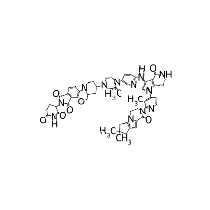 Cc1c(-n2cc(Nc3ccc(N4CCN(C5CCN6c7ccc8c(c7OCC6C5)C(=O)N(C5CCC(=O)NC5=O)C8=O)C[C@@H]4C)cn3)c3c2CCNC3=O)ccnc1N1CCn2c(cc3c2CC(C)(C)C3)C1=O